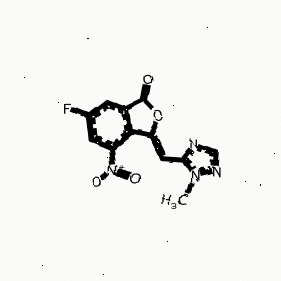 Cn1ncnc1/C=C1\OC(=O)c2cc(F)cc([N+](=O)[O-])c21